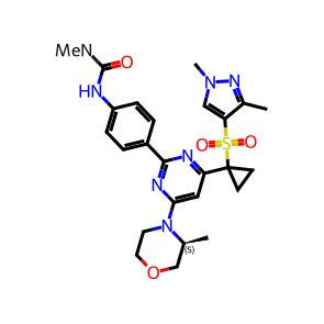 CNC(=O)Nc1ccc(-c2nc(N3CCOC[C@@H]3C)cc(C3(S(=O)(=O)c4cn(C)nc4C)CC3)n2)cc1